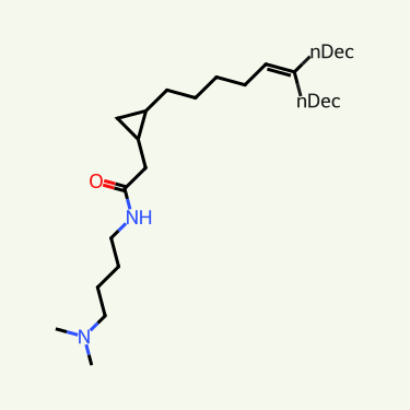 CCCCCCCCCCC(=CCCCCC1CC1CC(=O)NCCCCN(C)C)CCCCCCCCCC